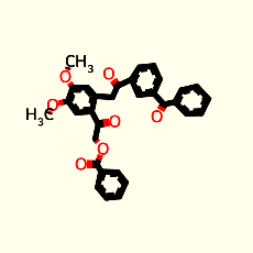 COc1cc(CC(=O)c2cccc(C(=O)c3ccccc3)c2)c(C(=O)COC(=O)c2ccccc2)cc1OC